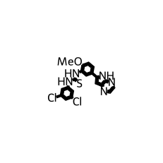 COc1ccc(-c2cc3nccnc3[nH]2)cc1NC(=S)Nc1cc(Cl)cc(Cl)c1